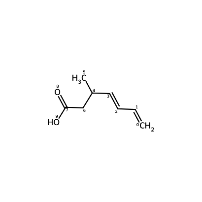 C=C/C=C/C(C)CC(=O)O